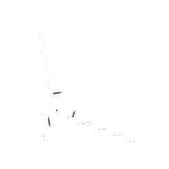 CCC=C(O)C(O)(OC(=O)CCCCCCCC)OC(=O)CCCCCCCC